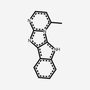 Cc1ccnc2nc3c4ccccc4[nH]c3n12